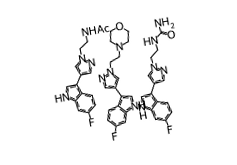 CC(=O)NCCn1cc(-c2c[nH]c3cc(F)ccc23)cn1.Fc1ccc2c(-c3cnn(CCN4CCOCC4)c3)c[nH]c2c1.NC(=O)NCCn1cc(-c2c[nH]c3cc(F)ccc23)cn1